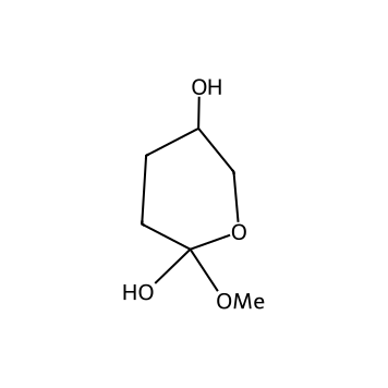 COC1(O)CCC(O)CO1